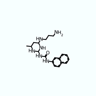 CC1CC(NCCCN)NC(NC(=O)Nc2ccc3ccccc3c2)N1